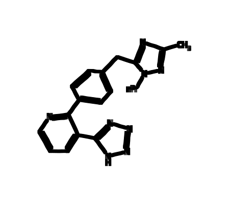 CCCn1nc(C)nc1Cc1ccc(-c2ncccc2-c2nnn[nH]2)cc1